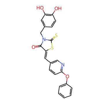 O=C1C(=Cc2ccc(Oc3ccccc3)nc2)SC(=S)N1Cc1ccc(O)c(O)c1